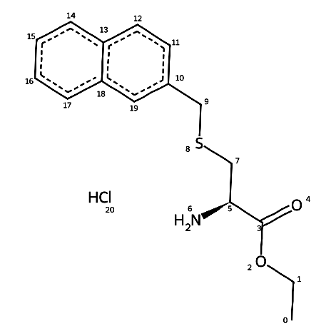 CCOC(=O)[C@@H](N)CSCc1ccc2ccccc2c1.Cl